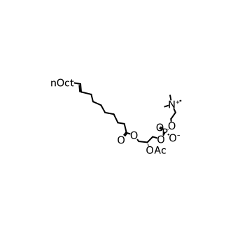 CCCCCCCC/C=C/CCCCCCCC(=O)OC[C@H](COP(=O)([O-])OCC[N+](C)(C)C)OC(C)=O